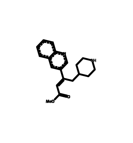 COC(=O)C=C(CC1CCNCC1)c1cnc2ccccc2c1